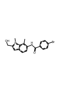 Cc1c(NC(=O)c2ccc(Br)cc2)ccc2cc(CO)n(C)c12